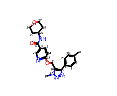 Cc1ccc(-c2nnn(C)c2COc2ccc(C(=O)NC3CCOCC3)cn2)cc1